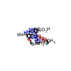 CC(=O)O.COc1cc(OCCOC(C)=O)c(F)c(C(C2=N[C@@H](OCOC(=O)OC(C)(C)CF)N(c3ncccn3)N2)N(C(=N)N)c2ccccc2)c1